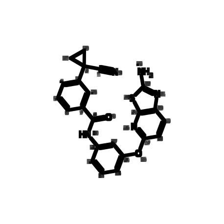 N#CC1(c2cccc(C(=O)Nc3cccc(Oc4ccc5nc(N)sc5n4)c3)c2)CC1